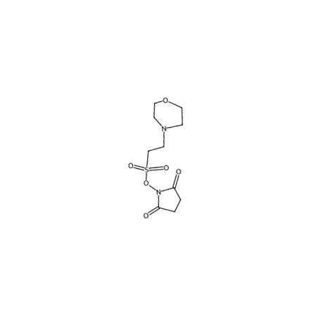 O=C1CCC(=O)N1OS(=O)(=O)CCN1CCOCC1